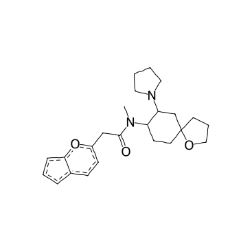 CN(C(=O)Cc1ccc2cccc-2o1)C1CCC2(CCCO2)CC1N1CCCC1